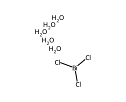 O.O.O.O.O.[Cl][Bi]([Cl])[Cl]